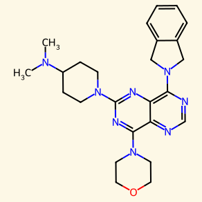 CN(C)C1CCN(c2nc(N3CCOCC3)c3ncnc(N4Cc5ccccc5C4)c3n2)CC1